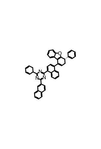 C1=CCC(c2nc(-c3ccc4ccccc4c3)nc(-c3ccc(C4=CC[C@@H](c5ccccc5)c5oc6ccccc6c54)c4ccccc34)n2)C=C1